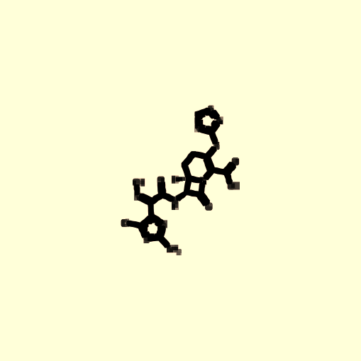 Nc1nc(/C(=N/O)C(=O)N[C@@H]2C(=O)N3C(C(=O)O)=C(Sc4ncsn4)CC[C@H]23)c(Cl)s1